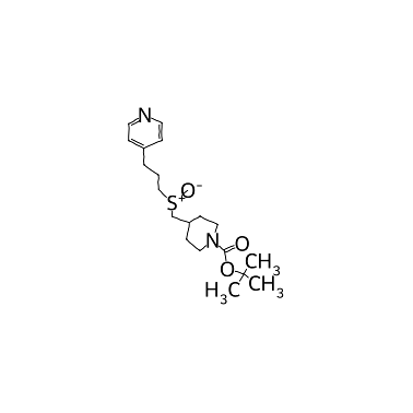 CC(C)(C)OC(=O)N1CCC(C[S+]([O-])CCCc2ccncc2)CC1